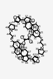 C[C@]12C(CC[C@@H]3[C@H]1CC[C@]1(C)C(c4ccoc4)CC4O[C@]431)CC(SCCN1CCCC1)CC2OC(=O)C(=O)OC1CC(SCCN2CCCC2)CC2CC[C@@H]3[C@@H](CC[C@]4(C)C(c5ccoc5)CC5O[C@]534)[C@]21C